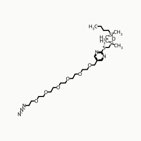 CCCC[Si](C)(C)O[Si](C)(C)CSc1ncc(COCCOCCOCCOCCOCCOCCN=[N+]=[N-])cn1